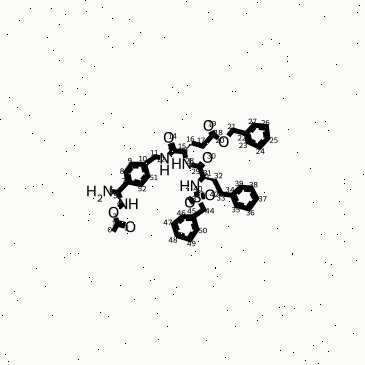 CC(=O)ONC(N)c1ccc(CNC(=O)[C@H](CCC(=O)OCc2ccccc2)NC(=O)[C@@H](CCc2ccccc2)NS(=O)(=O)Cc2ccccc2)cc1